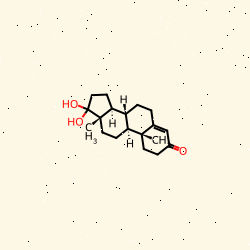 C[C@]12CCC(=O)C=C1CC[C@@H]1[C@@H]2CC[C@@]2(C)[C@H]1CCC2(O)O